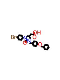 O=C(O)CC1CN(Cc2ccc(OCc3ccccc3)cc2)C(=O)N(c2ccc(Br)cc2)C1